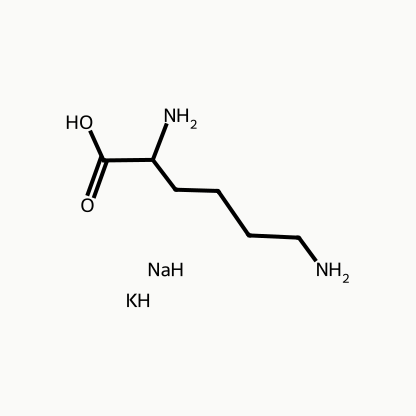 NCCCCC(N)C(=O)O.[KH].[NaH]